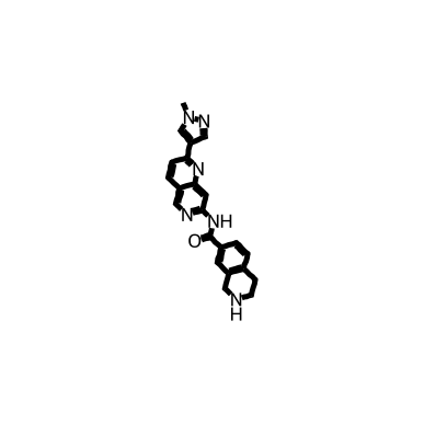 Cn1cc(-c2ccc3cnc(NC(=O)c4ccc5c(c4)CNCC5)cc3n2)cn1